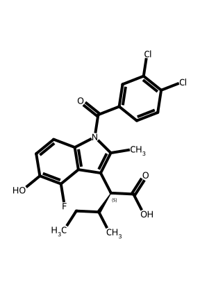 CCC(C)[C@H](C(=O)O)c1c(C)n(C(=O)c2ccc(Cl)c(Cl)c2)c2ccc(O)c(F)c12